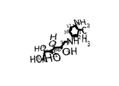 Cc1cc(NCC(O)C(O)C(O)C(O)CO)ccc1N